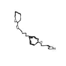 OCCOc1ccc(CCCCOC2CCCCO2)cc1